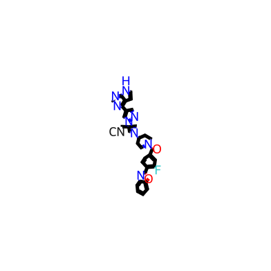 N#CCC1(n2cc(-c3ncnc4[nH]ccc34)cn2)CN(C2CCN(C(=O)c3ccc(-c4nc5ccccc5o4)c(F)c3)CC2)C1